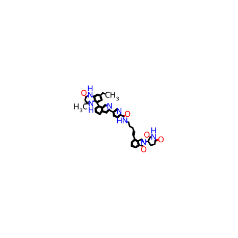 CCc1cc2c(c(-c3cccc4cc(-c5ccc(C(=O)NCCCC#Cc6cccc7c6CN(C6CCC(=O)NC6=O)C7=O)nc5)ncc34)c1)N[C@H](C)CC(=O)N2